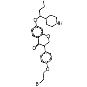 CCCC(Oc1ccc2c(c1)OCC(c1ccc(OCCBr)cc1)C2=O)C1CCNCC1